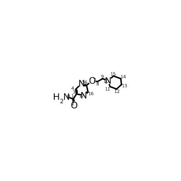 NC(=O)c1cnc(OCCN2CCCCC2)cn1